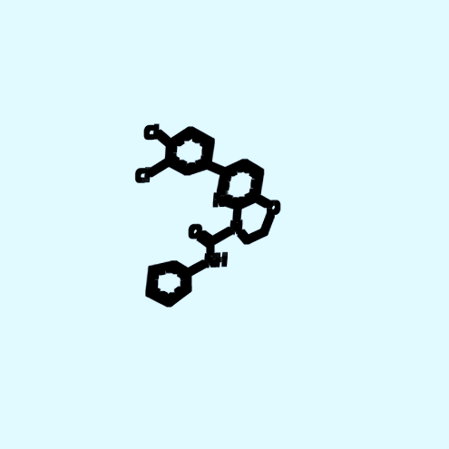 O=C(Nc1ccccc1)N1CCOc2ccc(-c3ccc(Cl)c(Cl)c3)nc21